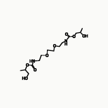 CC(O)COC(=O)NCCOCCOCCNC(=O)OC(C)CO